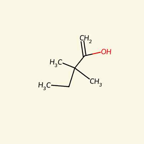 C=C(O)C(C)(C)CC